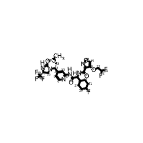 COC[C@H](c1ccnc(NC(=O)C(NC(=O)c2nocc2OCC(F)F)C2CCC(F)CC2)c1)N1C[C@@H](C(F)(F)F)NC1=O